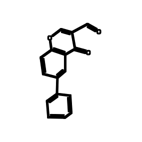 O=Cc1coc2ccc(-c3ccccc3)cc2c1=O